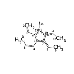 C=Cc1c(/C=C\C)c(=C/C)/c(=C\C)n1I